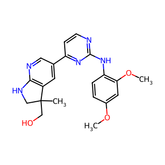 COc1ccc(Nc2nccc(-c3cnc4c(c3)C(C)(CO)CN4)n2)c(OC)c1